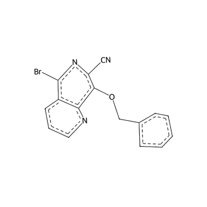 N#Cc1nc(Br)c2cccnc2c1OCc1ccccc1